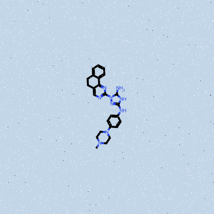 CN1CCN(c2ccc(NC3=NN(c4ncc5c(n4)-c4ccccc4CC5)C(N)N3)cc2)CC1